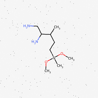 CO[Si](C)(CCC(C)C(N)CN)OC